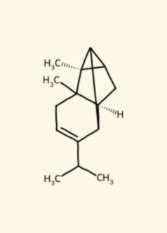 CC(C)C1=CCC2(C)[C@H]3CC4C(C13)[C@@]42C